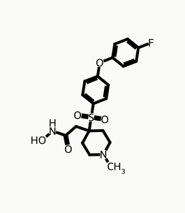 CN1CCC(CC(=O)NO)(S(=O)(=O)c2ccc(Oc3ccc(F)cc3)cc2)CC1